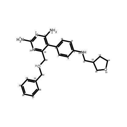 Nc1nc(N)c(-c2ccc(NCC3CCOC3)cc2)c(COCc2ccccc2)n1